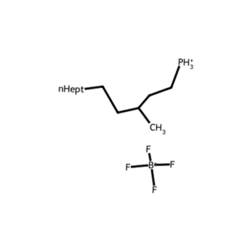 CCCCCCCCCC(C)CC[PH3+].F[B-](F)(F)F